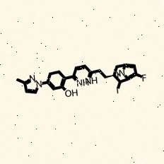 Cc1ccn(C2=CC(O)=C(C(=N)/C=C\C(=N)CC[C@H]3Cc4cc(F)c(n4I)C3I)CC2)n1